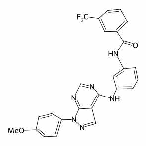 COc1ccc(-n2ncc3c(Nc4cccc(NC(=O)c5cccc(C(F)(F)F)c5)c4)ncnc32)cc1